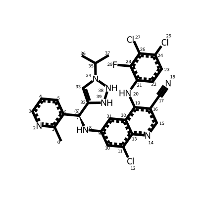 Cc1ncccc1[C@H](Nc1cc(Cl)c2ncc(C#N)c(Nc3ccc(Cl)c(Cl)c3F)c2c1)C1=CN(C(C)C)NN1